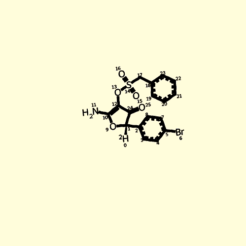 [2H][C@@]1(c2ccc(Br)cc2)OC(N)=C(OS(=O)(=O)Cc2ccccc2)C1=O